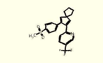 CS(=O)(=O)c1ccc(C2=CC3(C=C2c2ccc(C(F)(F)F)cn2)CCCC3)cc1